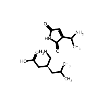 CC(C)C[C@H](CN)CC(=O)O.CC(N)C1=CC(=O)NC1=O